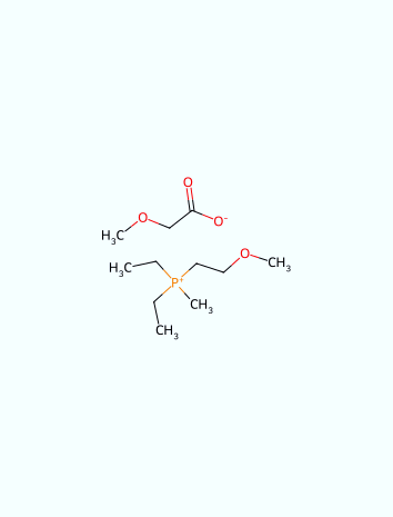 CC[P+](C)(CC)CCOC.COCC(=O)[O-]